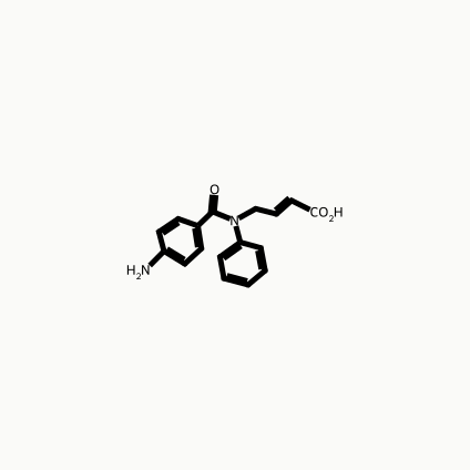 Nc1ccc(C(=O)N(CC=CC(=O)O)c2ccccc2)cc1